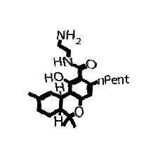 CCCCCc1cc2c(c(O)c1C(=O)NCCN)[C@@H]1C=C(C)CC[C@H]1C(C)(C)O2